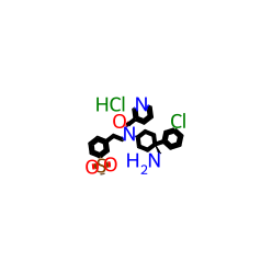 CS(=O)(=O)c1cccc(CCN(C(=O)c2cccnc2)[C@H]2CC[C@@](CN)(c3cccc(Cl)c3)CC2)c1.Cl